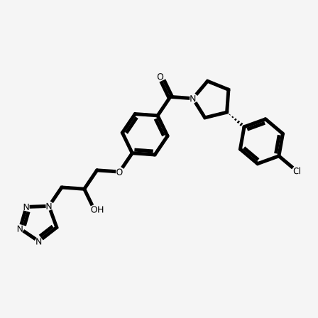 O=C(c1ccc(OCC(O)Cn2cnnn2)cc1)N1CC[C@H](c2ccc(Cl)cc2)C1